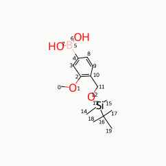 COc1cc(B(O)O)ccc1CO[Si](C)(C)C(C)(C)C